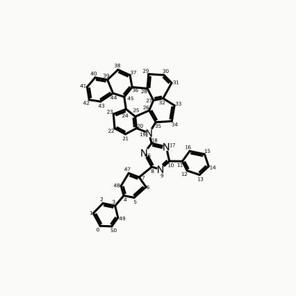 c1ccc(-c2ccc(-c3nc(-c4ccccc4)nc(-n4c5cccc6c5c5c7c(cccc7ccc54)-c4ccc5ccccc5c4-6)n3)cc2)cc1